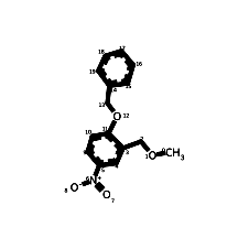 COCc1cc([N+](=O)[O-])ccc1OCc1ccccc1